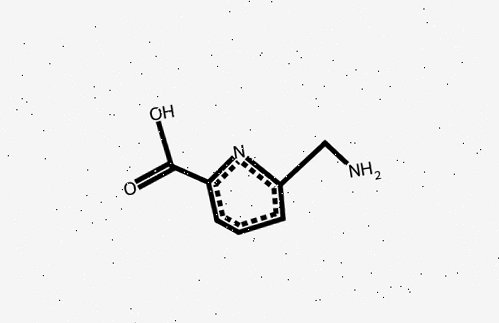 NCc1cccc(C(=O)O)n1